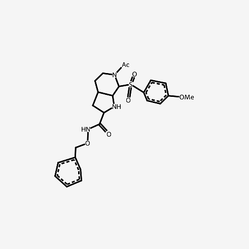 COc1ccc(S(=O)(=O)C2C3NC(C(=O)NOCc4ccccc4)CC3CCN2C(C)=O)cc1